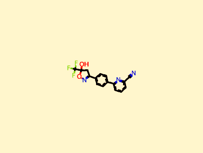 N#Cc1cccc(-c2ccc(C3=NOC(O)(C(F)(F)F)C3)cc2)n1